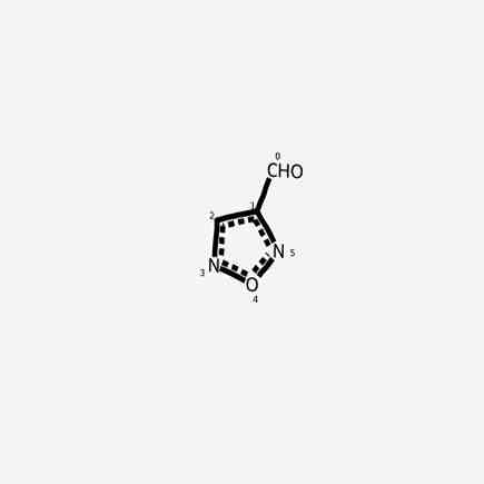 O=Cc1cnon1